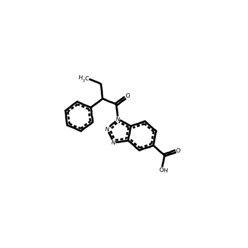 CCC(C(=O)n1nnc2cc(C(=O)O)ccc21)c1ccccc1